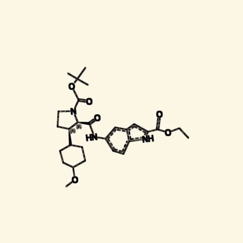 CCOC(=O)c1cc2cc(NC(=O)[C@H]3[C@@H](C4CCC(OC)CC4)CCN3C(=O)OC(C)(C)C)ccc2[nH]1